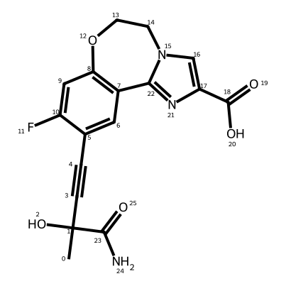 CC(O)(C#Cc1cc2c(cc1F)OCCn1cc(C(=O)O)nc1-2)C(N)=O